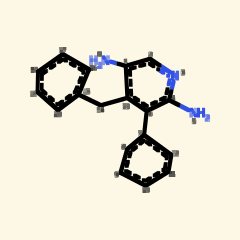 Nc1cnc(N)c(-c2ccccc2)c1Cc1ccccc1